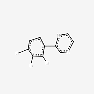 Clc1ccc(-c2cnccn2)c(Cl)c1Cl